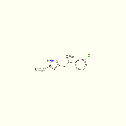 CCOC(=O)c1cc(CC(OC)c2cccc(Cl)c2)c[nH]1